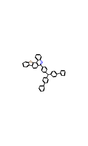 c1ccc(-c2ccc(C(c3ccc(-c4ccccc4)cc3)c3ccc(-c4nc5ccccc5c5c4ccc4c6ccccc6sc45)cc3)cc2)cc1